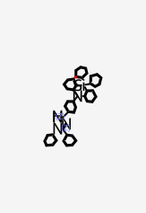 C/N=C(\N=C(/Nc1ccccc1)c1ccccc1)c1ccc(N2c3ccccc3[Si](c3ccccc3)(c3ccccc3)c3ccccc32)cc1